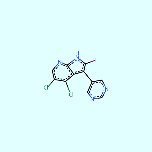 Clc1cnc2[nH]c(I)c(-c3cncnc3)c2c1Cl